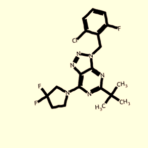 CC(C)(C)c1nc(N2CCC(F)(F)C2)c2nnn(Cc3c(F)cccc3Cl)c2n1